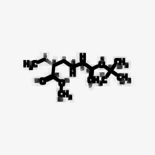 CC[C@H](CNNC(=O)OC(C)(C)C)C(=O)OC